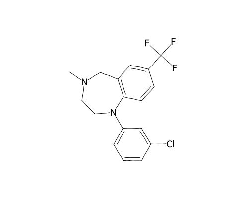 CN1CCN(c2cccc(Cl)c2)c2ccc(C(F)(F)F)cc2C1